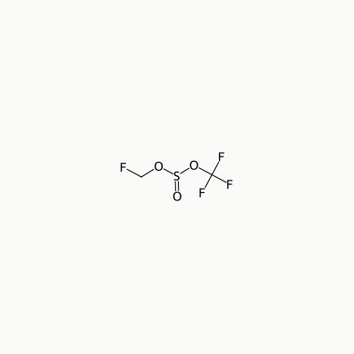 O=S(OCF)OC(F)(F)F